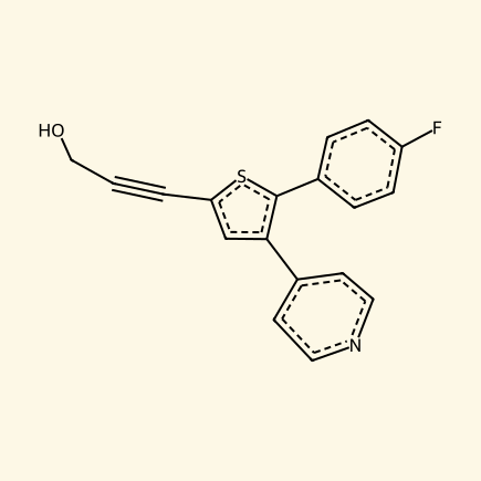 OCC#Cc1cc(-c2ccncc2)c(-c2ccc(F)cc2)s1